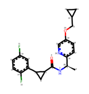 C[C@@H](NC(=O)C1CC1c1cc(F)ccc1F)c1ccc(OCC2CC2)cn1